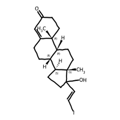 C[C@]12CCC(=O)C=C1CC[C@@H]1[C@H]2CC[C@@]2(C)[C@H]1CCC2(O)C=CI